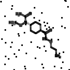 NCCONC(=O)[C@H]1CC[C@H](N(OS(=O)(=O)O)C(N)=O)CC1